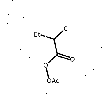 CCC(Cl)C(=O)OOC(C)=O